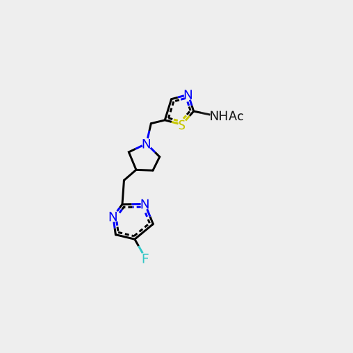 CC(=O)Nc1ncc(CN2CCC(Cc3ncc(F)cn3)C2)s1